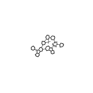 CC1(C)c2ccccc2-c2ccc(-c3cc4c(cc3-c3ccc5c(c3)c3ccccc3n5-c3nc(-c5ccccc5)nc(-c5ccccc5)n3)c3ccccc3n4-c3ccccc3)cc21